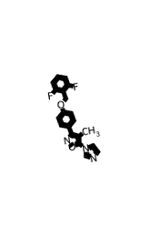 Cc1c(-c2ccc(OCc3c(F)cccc3F)cc2)noc1-n1ccnc1